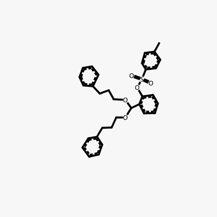 Cc1ccc(S(=O)(=O)Oc2ccccc2C(OCCCc2ccccc2)OCCCc2ccccc2)cc1